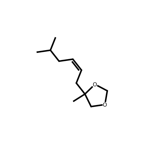 CC(C)C/C=C\CC1(C)COCO1